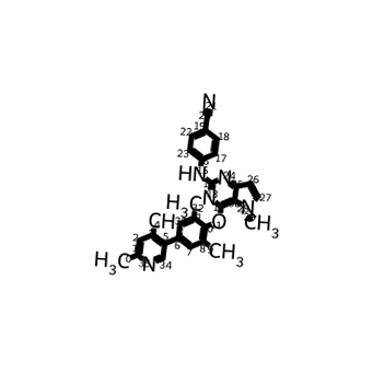 Cc1cc(C)c(-c2cc(C)c(Oc3nc(Nc4ccc(C#N)cc4)nc4ccn(C)c34)c(C)c2)cn1